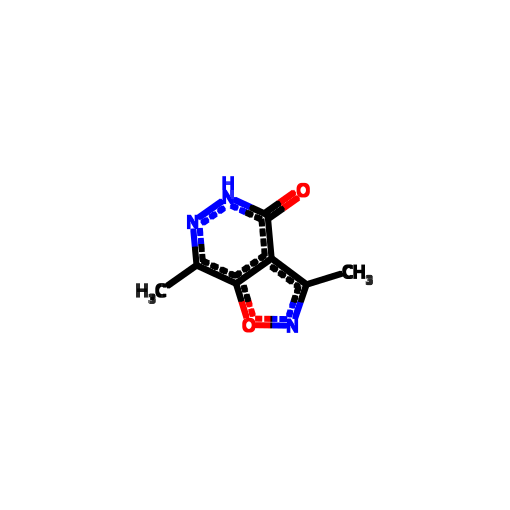 Cc1n[nH]c(=O)c2c(C)noc12